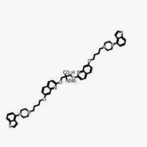 CCCCCCCCCCC(COc1ccc2ccc(OCCCCN3CCN(c4cccc5sccc45)CC3)cc2n1)(COc1ccc2ccc(OCCCCN3CCN(c4cccc5sccc45)CC3)cc2n1)C(=O)O